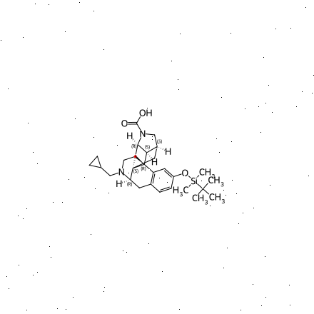 CC(C)(C)[Si](C)(C)Oc1ccc2c(c1)[C@]13CCN(CC4CC4)[C@H](C2)[C@]12CC[C@@H]1[C@H]3[C@@H](CN1C(=O)O)C2